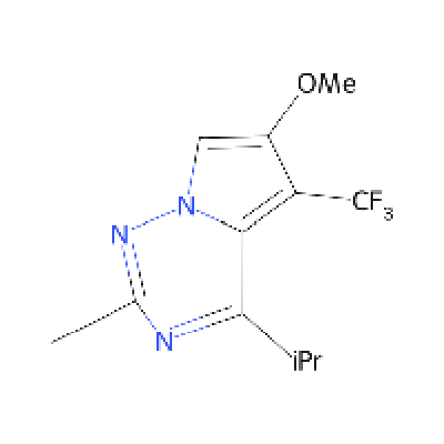 COc1cn2nc(C)nc(C(C)C)c2c1C(F)(F)F